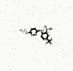 COc1ccc(Nc2ccc(C(F)(F)F)cc2[N+](=O)[O-])nn1